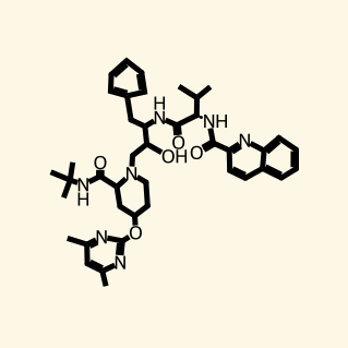 Cc1cc(C)nc(OC2CCN(CC(O)C(Cc3ccccc3)NC(=O)[C@@H](NC(=O)c3ccc4ccccc4n3)C(C)C)C(C(=O)NC(C)(C)C)C2)n1